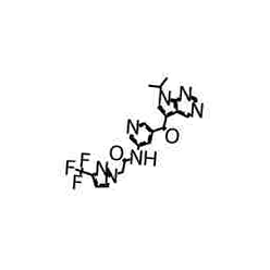 CC(C)n1cc(C(=O)c2cncc(NC(=O)Cn3ccc(C(F)(F)F)n3)c2)c2cncnc21